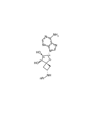 CCCN[C@H]1C[C@]2(C1)O[C@@H](n1cnc3c(N)ncnc31)[C@H](O)[C@@H]2O